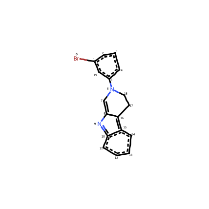 Brc1cccc(N2C=C3N=c4ccccc4=C3CC2)c1